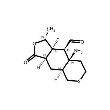 C[C@H]1OC(=O)[C@@H]2C[C@@H]3CSCC[C@@]3(N)[C@H](C=O)[C@H]12